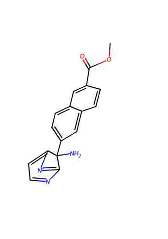 COC(=O)c1ccc2cc(C3(N)C4=CC=NC3=N4)ccc2c1